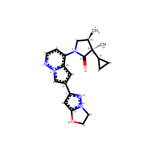 C[C@@H]1CN(c2ccnn3cc(-c4cc5n(n4)CCO5)cc23)C(=O)[C@]1(C#N)C1CC1